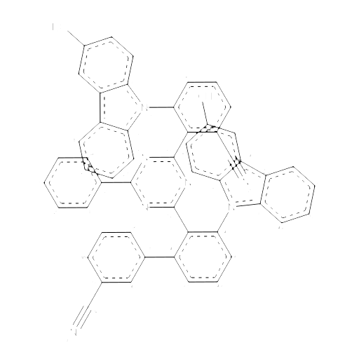 Cc1ccc2c(c1)c1ccccc1n2-c1cccc(C#N)c1-c1nc(-c2ccccc2)nc(-c2c(-c3cccc(C#N)c3)cccc2-n2c3ccccc3c3cc(C)ccc32)n1